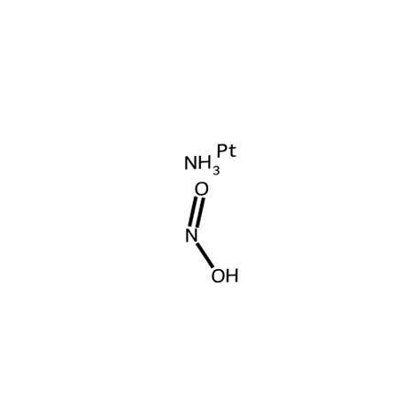 N.O=NO.[Pt]